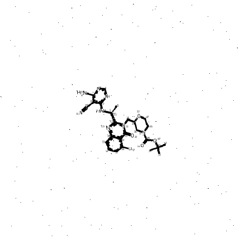 C[C@H](Nc1ncnc(N)c1C#N)c1nc2cccc(Cl)c2c(=O)n1CC1CN(C(=O)OC(C)(C)C)CCO1